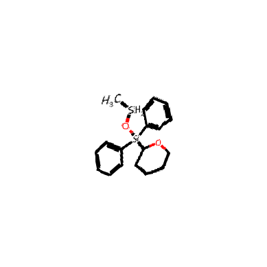 C[SiH2]O[Si](c1ccccc1)(c1ccccc1)C1CCCCO1